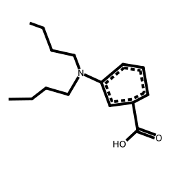 CCCCN(CCCC)c1cccc(C(=O)O)c1